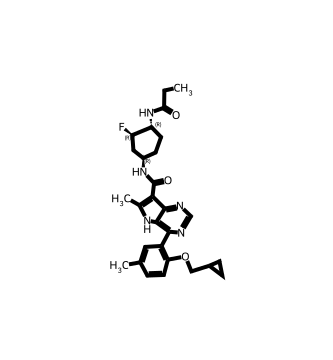 CCC(=O)N[C@@H]1CC[C@@H](NC(=O)c2c(C)[nH]c3c(-c4cc(C)ccc4OCC4CC4)ncnc23)C[C@H]1F